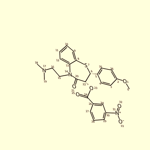 COc1ccc([C@H]2Sc3ccccc3N(CCN(C)C)C(=O)[C@H]2OC(=O)c2cccc([N+](=O)[O-])c2)cc1